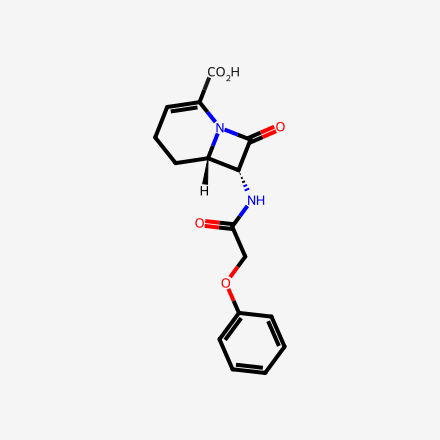 O=C(COc1ccccc1)N[C@H]1C(=O)N2C(C(=O)O)=CCC[C@@H]12